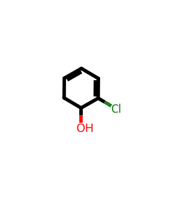 OC1CC=CC=C1Cl